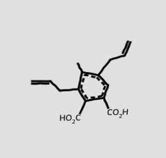 C=CCc1cc(C(=O)O)c(C(=O)O)c(CC=C)c1C